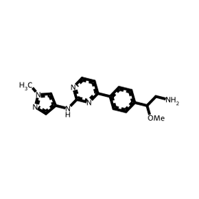 COC(CN)c1ccc(-c2ccnc(Nc3cnn(C)c3)n2)cc1